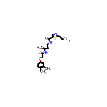 C=C(CCNC(=O)c1cnc(CCC)s1)NC(=O)COc1ccc(C)c(C)c1